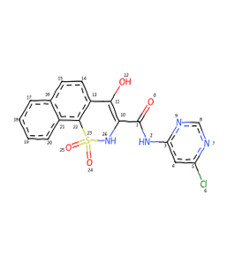 O=C(Nc1cc(Cl)ncn1)C1=C(O)c2ccc3ccccc3c2S(=O)(=O)N1